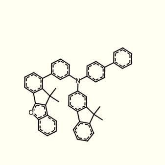 CC1(C)c2ccccc2-c2ccc(N(c3ccc(-c4ccccc4)cc3)c3cccc(-c4cccc5c4C(C)(C)c4c-5oc5ccccc45)c3)cc21